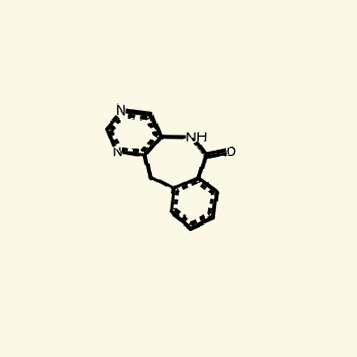 O=C1Nc2cncnc2Cc2ccccc21